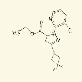 CCOC(=O)C1CC(N2CC(F)(F)C2)=NN1c1ncccc1Cl